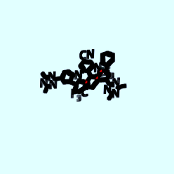 Cc1nc(C)nc(-c2ccc3c(c2)c2ccccc2n3-c2cc(C#N)cc(-n3c4ccccc4c4cc(-c5nc(C)nc(C)n5)ccc43)c2-c2cc(C(F)(F)F)ccc2C(F)(F)F)n1